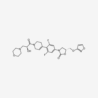 O=C([C@@H](O)CN1CCOCC1)N1CC=C(c2c(F)cc(N3C[C@H](COc4ccon4)OC3=O)cc2F)CC1